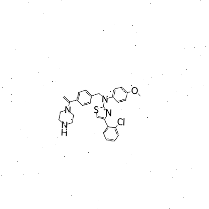 C=C(c1ccc(CN(c2ccc(OC)cc2)c2nc(-c3ccccc3Cl)cs2)cc1)N1CCNCC1